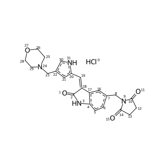 Cl.O=C1Nc2ccc(CN3C(=O)CCC3=O)cc2C1=Cc1cc(CN2CCOCC2)c[nH]1